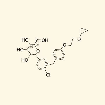 OC[C@H]1OC(c2ccc(Cl)c(Cc3ccc(OCCOC4CC4)cc3)c2)C(O)C(O)[C@@H]1O